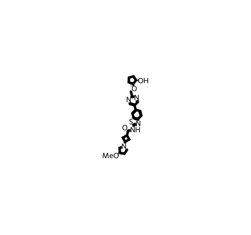 CO[C@H]1CCN(C2CC(C(=O)Nc3nc4ccc(-c5cnc(CO[C@H]6CCC[C@@H]6O)nc5)cc4s3)C2)C1